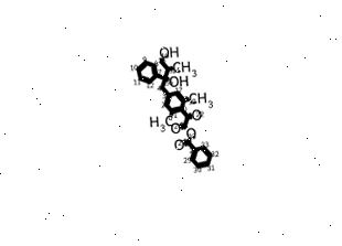 Cc1cc(CC(O)(c2ccccc2)C(C)CO)cc(C)c1C(=O)C(=O)OC(=O)c1ccccc1